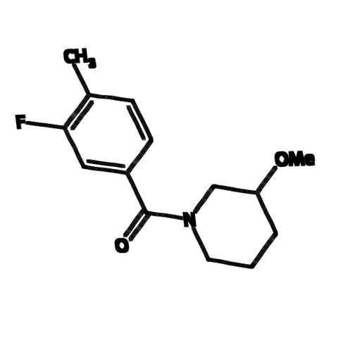 COC1CCCN(C(=O)c2ccc(C)c(F)c2)C1